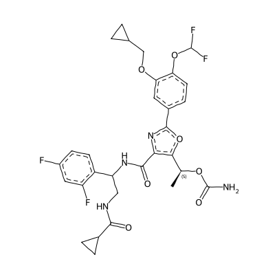 C[C@H](OC(N)=O)c1oc(-c2ccc(OC(F)F)c(OCC3CC3)c2)nc1C(=O)NC(CNC(=O)C1CC1)c1ccc(F)cc1F